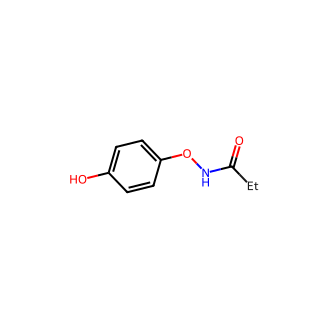 CCC(=O)NOc1ccc(O)cc1